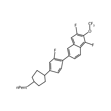 CCCCCC1CCC(c2ccc(-c3ccc4c(F)c(OC(F)(F)F)c(F)cc4c3)c(F)c2)CC1